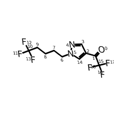 O=C(c1cnn(CCCCC(F)(F)F)c1)C(F)(F)F